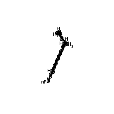 CCCOCCOCCOCCOCCC(=O)NCCOCCOCCOCCOCCOCCOCCOCCOCCOCCOCCC(=O)N[C@@H](CCCCNC(=O)CCCC[C@@H]1SC[C@@H]2NC(=O)N[C@@H]21)C(N)=O